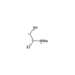 CCC(CS)NC